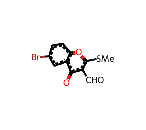 CSc1oc2ccc(Br)cc2c(=O)c1C=O